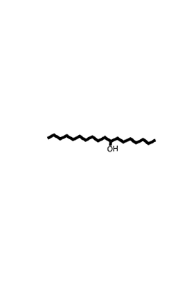 CCCCCCCCC[CH]C(O)CCCCCCC